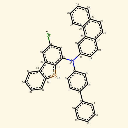 Brc1cc(N(c2ccc(-c3ccccc3)cc2)c2ccc3ccc4ccccc4c3c2)c2sc3ccccc3c2c1